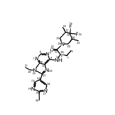 CC[C@@H](Nc1ncnc2c1nc(-c1cnc(C)nc1)n2CC)C(=O)N1CC(C)C(F)(F)C(C)C1